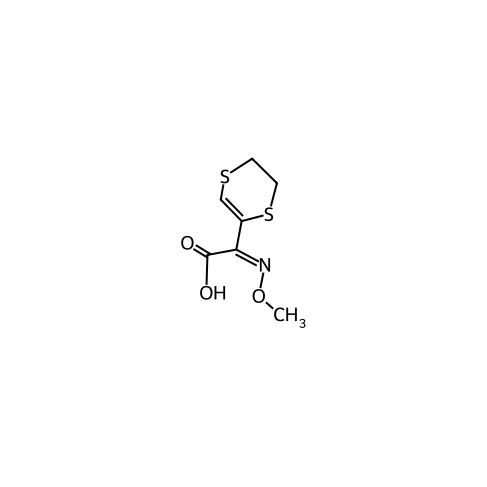 CON=C(C(=O)O)C1=CSCCS1